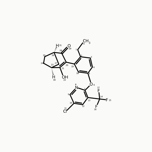 CCc1ccc(Oc2ncc(Cl)cc2C(F)(F)F)cc1C1=C(O)[C@H]2CC[C@H](C2)C1=O